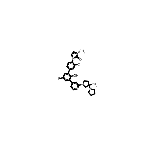 Cn1ccn(-c2ccc(-c3cc(F)cc(-c4ccnc(N5CCC(C)(N6CCCC6)C5)c4)c3O)cc2Cl)c1=O